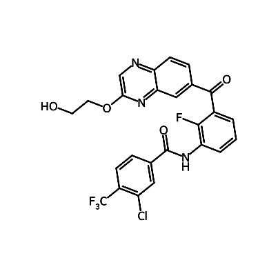 O=C(Nc1cccc(C(=O)c2ccc3ncc(OCCO)nc3c2)c1F)c1ccc(C(F)(F)F)c(Cl)c1